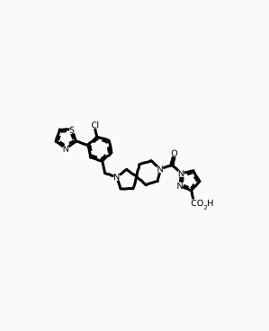 O=C(O)c1ccn(C(=O)N2CCC3(CCN(Cc4ccc(Cl)c(-c5nccs5)c4)C3)CC2)n1